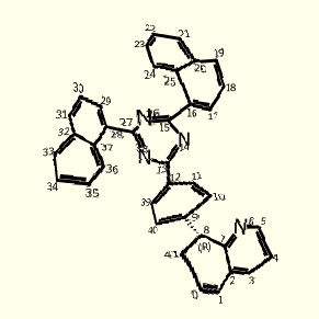 C1=Cc2cccnc2[C@@H](c2ccc(-c3nc(-c4cccc5ccccc45)nc(-c4cccc5ccccc45)n3)cc2)C1